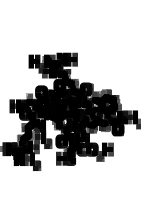 CC(C)(NC(=O)[C@H](CS)NC(=O)[C@@H](N)CCCNC(=N)N)C(=O)N[C@@H](CCCNC(=N)N)C(=O)N[C@H](Cc1ccccc1)C(=O)N[C@@H](CCCNC(N)=O)C(=O)N[C@@H](Cc1c[nH]c2ccccc12)C(=O)N[C@@H](CS)C(=O)O